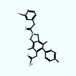 Cc1ccc(-c2c(C)c3c(c(C)c2CC(=O)O)CN(C(=O)Cc2cccc(F)c2)C3)cc1